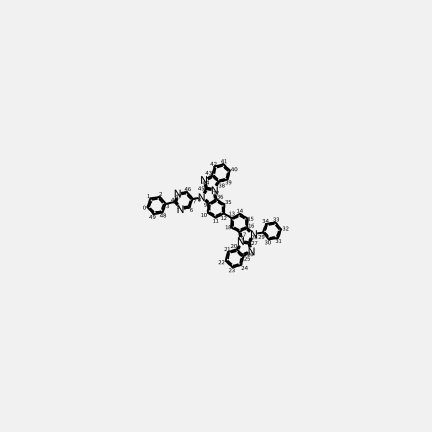 c1ccc(-c2ncc(-n3c4ccc(-c5ccc6c(c5)n5c7ccccc7nc5n6-c5ccccc5)cc4n4c5ccccc5nc34)cn2)cc1